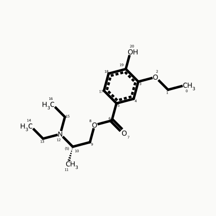 CCOc1cc(C(=O)OC[C@H](C)N(CC)CC)ccc1O